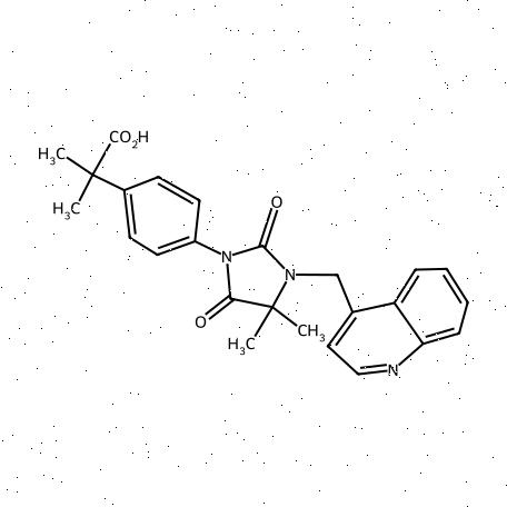 CC(C)(C(=O)O)c1ccc(N2C(=O)N(Cc3ccnc4ccccc34)C(C)(C)C2=O)cc1